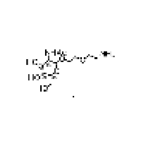 CC(=O)N[C@H]1C(OCCOCCN)O[C@H](CO)[C@H](O)[C@@H]1O